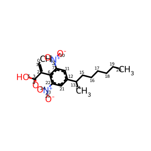 C/C=C(/C(=O)O)c1c([N+](=O)[O-])cc(C(C)CCCCCC)cc1[N+](=O)[O-]